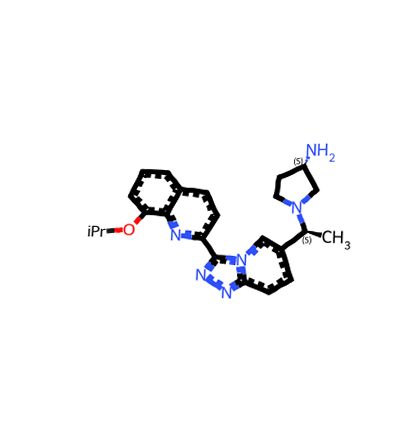 CC(C)Oc1cccc2ccc(-c3nnc4ccc([C@H](C)N5CC[C@H](N)C5)cn34)nc12